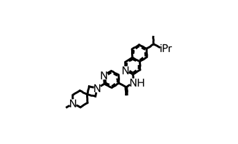 C=C(Nc1cc2cc(C(C)C(C)C)ccc2cn1)c1ccnc(N2CC3(CCN(C)CC3)C2)c1